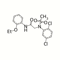 CCOc1ccccc1NC(=O)CN(c1cc(Cl)ccc1Cl)S(C)(=O)=O